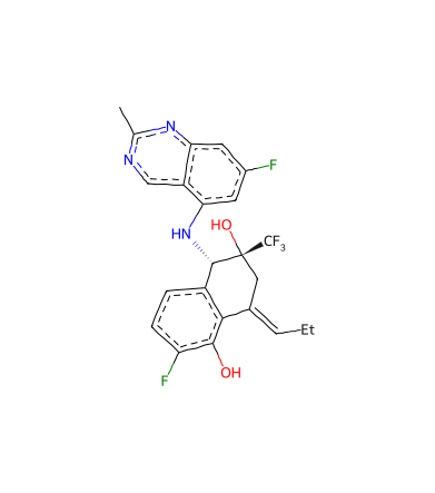 CC/C=C1\C[C@](O)(C(F)(F)F)[C@@H](Nc2cc(F)cc3nc(C)ncc23)c2ccc(F)c(O)c21